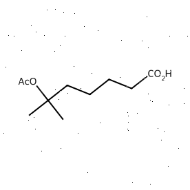 CC(=O)OC(C)(C)CCCCC(=O)O